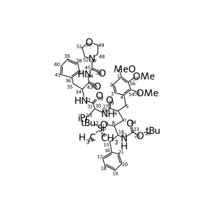 COc1ccc(CC(CC(O[Si](C)(C)C(C)(C)C)C(Cc2ccccc2)NC(=O)OC(C)(C)C)C(=O)NC(C(=O)NC(Cc2ccccc2)C(=O)NC(=O)N2CCOCC2)C(C)C)c(OC)c1OC